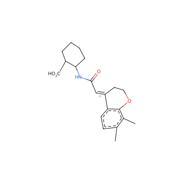 Cc1ccc2c(c1C)OCC/C2=C\C(=O)NC1CCCCC1C(=O)O